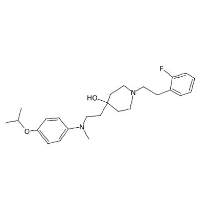 CC(C)Oc1ccc(N(C)CCC2(O)CCN(CCc3ccccc3F)CC2)cc1